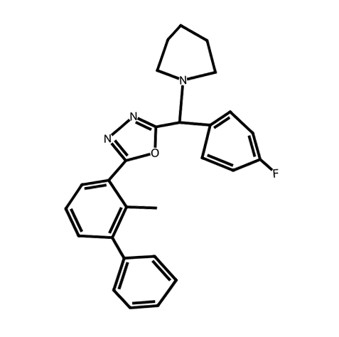 Cc1c(-c2ccccc2)cccc1-c1nnc(C(c2ccc(F)cc2)N2CCCCC2)o1